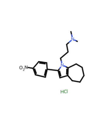 CN(C)CCCn1c(-c2ccc([N+](=O)[O-])cc2)cc2c1CCCCC2.Cl